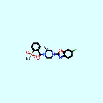 CCS(=O)(=O)c1ccccc1C(=O)N1CCN(c2nc3ccc(F)cc3o2)C[C@@H]1C